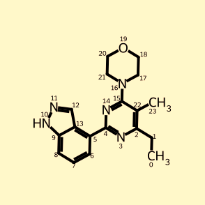 CCc1nc(-c2cccc3[nH]ncc23)nc(N2CCOCC2)c1C